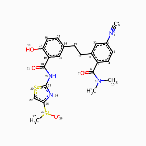 [C-]#[N+]c1ccc(C(=O)N(C)C)c(CCc2ccc(O)c(C(=O)Nc3nc([S+](C)[O-])cs3)c2)c1